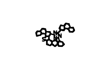 c1ccc(-c2nc(-c3ccc4ccc5ccccc5c4c3)nc(-c3cc4ccc5ccccc5c4c4sc5ccc6ccccc6c5c34)n2)cc1